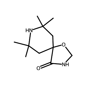 CC1(C)CC2(CC(C)(C)N1)OCNC2=O